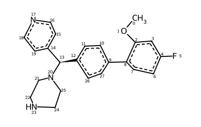 COc1cc(F)ccc1-c1ccc([C@H](c2ccncc2)N2CCNCC2)cc1